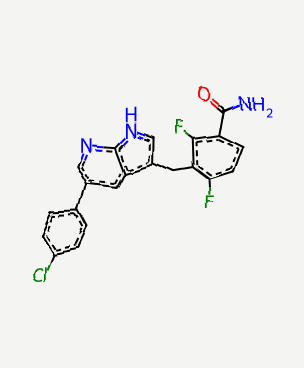 NC(=O)c1ccc(F)c(Cc2c[nH]c3ncc(-c4ccc(Cl)cc4)cc23)c1F